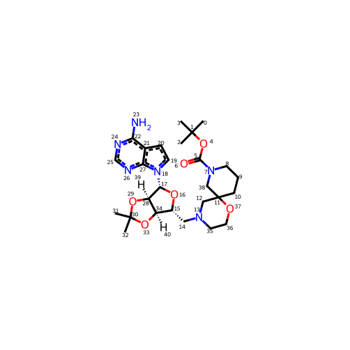 CC(C)(C)OC(=O)N1CCCC2(CN(C[C@H]3O[C@@H](n4ccc5c(N)ncnc54)[C@@H]4OC(C)(C)O[C@@H]43)CCO2)C1